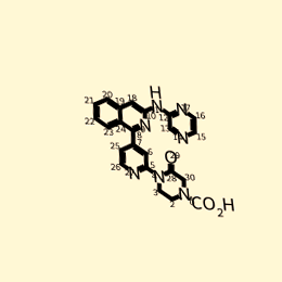 O=C(O)N1CCN(c2cc(-c3nc(Nc4cnccn4)cc4ccccc34)ccn2)C(=O)C1